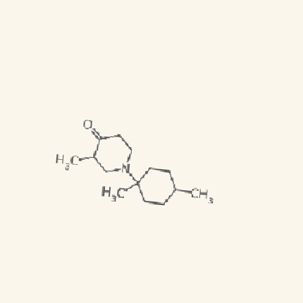 CC1CCC(C)(N2CCC(=O)C(C)C2)CC1